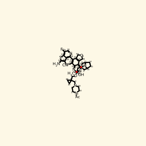 CC(=O)N1CCN(CC2(COc3nc(N4C5CCC4CN(C[C@@H](C)O)C5)c4c5c(c(-c6ncc(F)c7sc(N)c(C#N)c67)c(F)c4n3)COC5)CC2)CC1